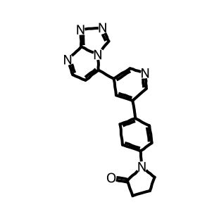 O=C1CCCN1c1ccc(-c2cncc(-c3ccnc4nncn34)c2)cc1